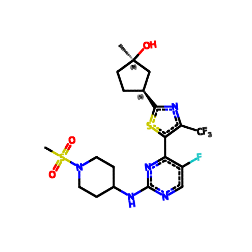 C[C@@]1(O)CC[C@H](c2nc(C(F)(F)F)c(-c3nc(NC4CCN(S(C)(=O)=O)CC4)ncc3F)s2)C1